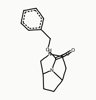 O=C1CC2CCC(CN1)N2C(=O)OCc1ccccc1